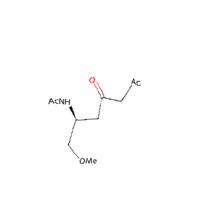 COC[C@H](CC(=O)CC(C)=O)NC(C)=O